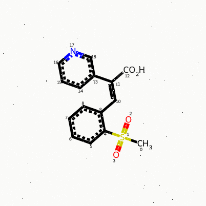 CS(=O)(=O)c1ccccc1/C=C(/C(=O)O)c1cccnc1